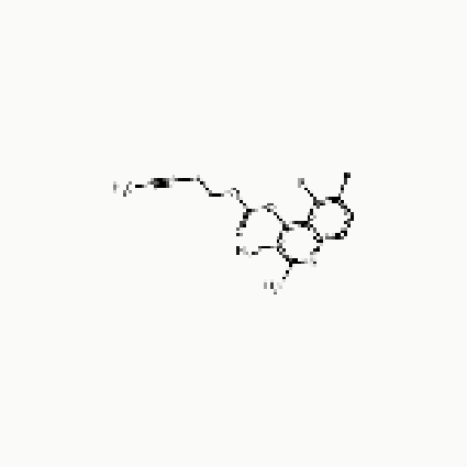 CC#CCCOC(=O)Oc1c(C)c(C)nc2ccc(F)c(F)c12